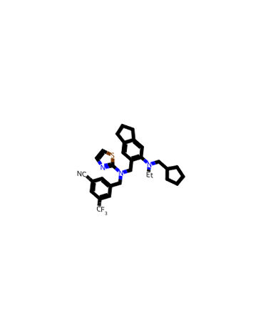 CCN(CC1CCCC1)c1cc2c(cc1CN(Cc1cc(C#N)cc(C(F)(F)F)c1)c1nccs1)CCC2